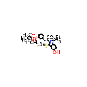 CCOC(=O)C(Cc1cccc(B2OC(C)(C)C(C)(C)O2)c1)c1c(SC(C)(C)C)c2cc(O)ccc2n1C